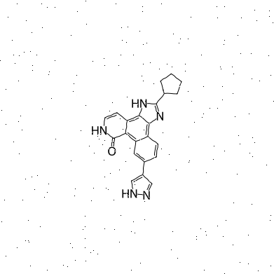 O=c1[nH]ccc2c3[nH]c(C4CCCC4)nc3c3ccc(-c4cn[nH]c4)cc3c12